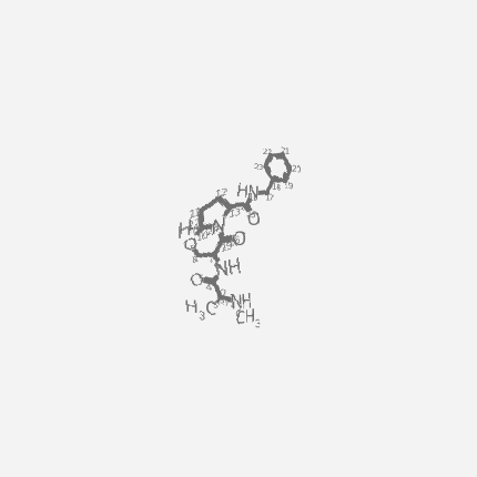 CN[C@@H](C)C(=O)NC1CO[C@H]2CCC(C(=O)NCc3ccccc3)N2C1=O